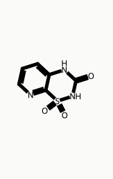 O=C1Nc2cccnc2S(=O)(=O)N1